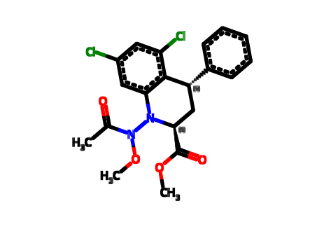 COC(=O)[C@@H]1C[C@@H](c2ccccc2)c2c(Cl)cc(Cl)cc2N1N(OC)C(C)=O